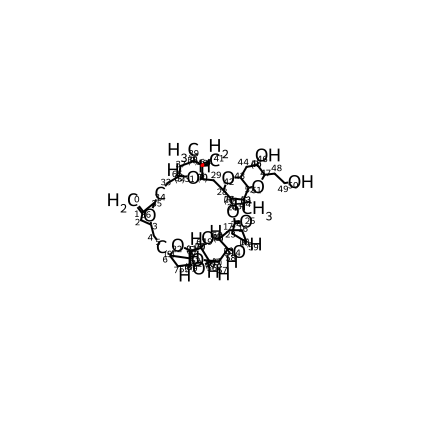 C=C1CC2CC[C@@]34C[C@H]5O[C@H]6[C@@H](O3)[C@H]3O[C@H](CC[C@@H]3O[C@H]6[C@H]5O4)CC(=O)O[C@H]3C(C[C@H]4O[C@@H](CCC1O2)C[C@@H](C)C4=C)OC1C[C@@H](O)C(CCO)OC1[C@@H]3C